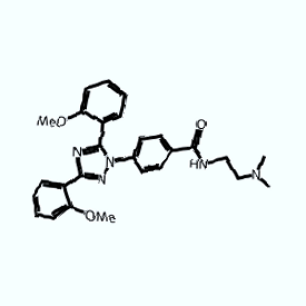 COc1ccccc1-c1nc(-c2ccccc2OC)n(-c2ccc(C(=O)NCCN(C)C)cc2)n1